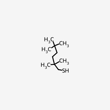 CC(C)(C)CCC(C)(C)CS